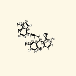 Cn1cccc(C(CC#Cc2ccnc3[nH]ccc23)c2cc(F)ccc2F)c1=O